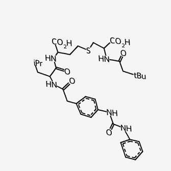 CC(C)CC(NC(=O)Cc1ccc(NC(=O)Nc2ccccc2)cc1)C(=O)NC(CCSCC(NC(=O)CC(C)(C)C)C(=O)O)C(=O)O